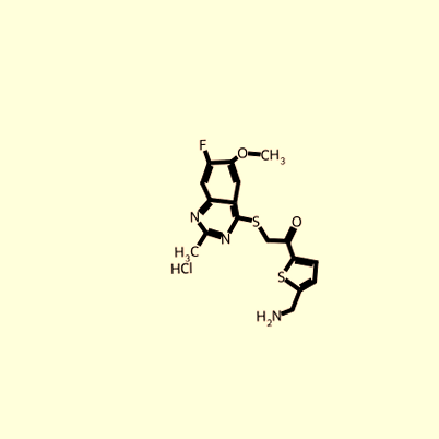 COc1cc2c(SCC(=O)c3ccc(CN)s3)nc(C)nc2cc1F.Cl